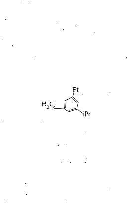 C=[C]c1cc(CC)cc(C(C)C)c1